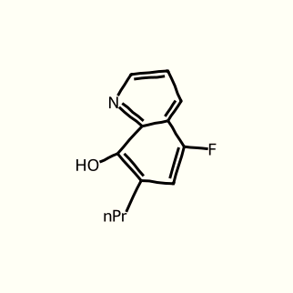 CCCc1cc(F)c2cccnc2c1O